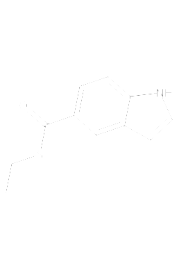 CCSC(=O)c1ccc2[nH]ccc2c1